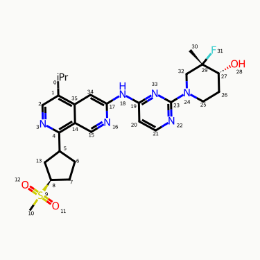 CC(C)c1cnc(C2CC[C@@H](S(C)(=O)=O)C2)c2cnc(Nc3ccnc(N4CC[C@@H](O)[C@@](C)(F)C4)n3)cc12